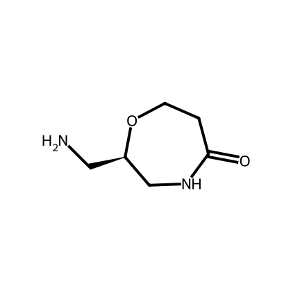 NC[C@@H]1CNC(=O)CCO1